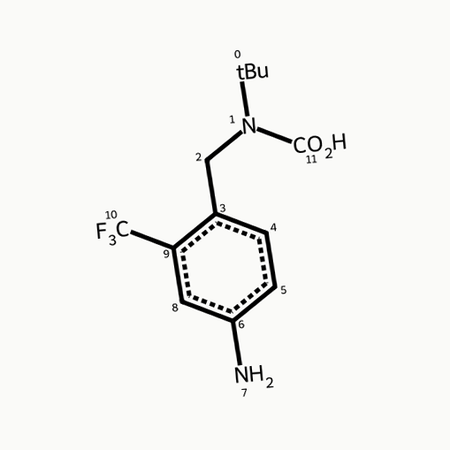 CC(C)(C)N(Cc1ccc(N)cc1C(F)(F)F)C(=O)O